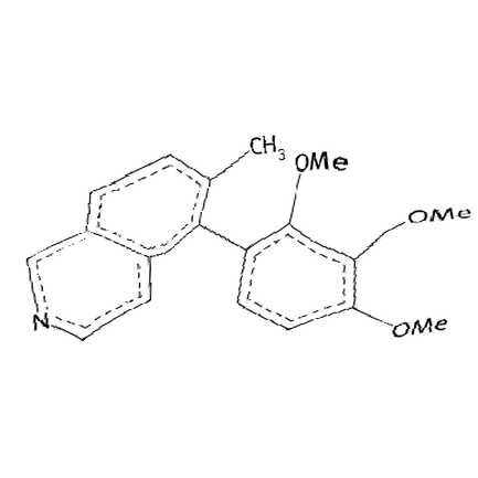 COc1ccc(-c2c(C)ccc3cnccc23)c(OC)c1OC